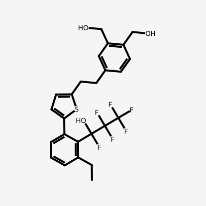 CCc1cccc(-c2ccc(CCc3ccc(CO)c(CO)c3)s2)c1C(O)(F)C(F)(F)C(F)(F)F